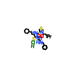 CC(C)CC(=O)N1CSC[C@H]1C(=O)N[C@H](CCC1CCCCC1)C(=S)NCCNCc1ccccc1.Cl